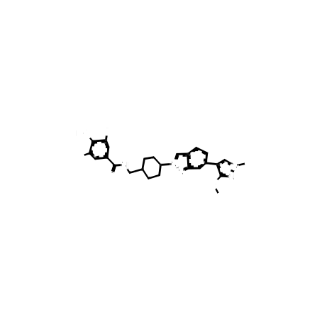 COc1nn(C)cc1-c1ccc2cn(C3CCC(CNC(=O)c4cc(F)c(O)c(F)c4)CC3)nc2c1